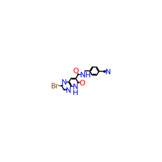 N#Cc1ccc(CNC(=O)c2cc3nc(Br)cnc3[nH]c2=O)cc1